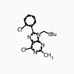 Cc1nc(Cl)c2nc(-c3ccccc3Cl)n(CC(C)(C)C)c2n1